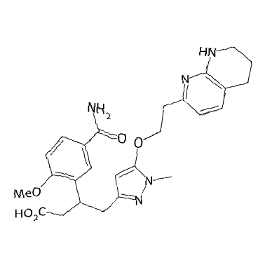 COc1ccc(C(N)=O)cc1C(CC(=O)O)Cc1cc(OCCc2ccc3c(n2)NCCC3)n(C)n1